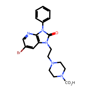 O=C(O)N1CCN(CCn2c(=O)n(-c3ccccc3)c3ncc(Br)cc32)CC1